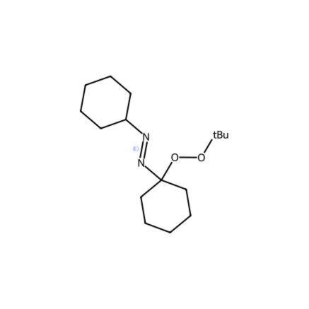 CC(C)(C)OOC1(/N=N/C2CCCCC2)CCCCC1